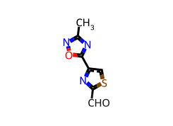 Cc1noc(-c2csc(C=O)n2)n1